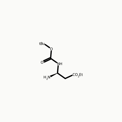 CCOC(=O)C[C@@H](N)NC(=O)OC(C)(C)C